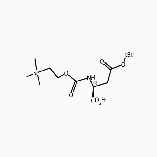 CC(C)(C)OC(=O)C[C@H](NC(=O)OCC[Si](C)(C)C)C(=O)O